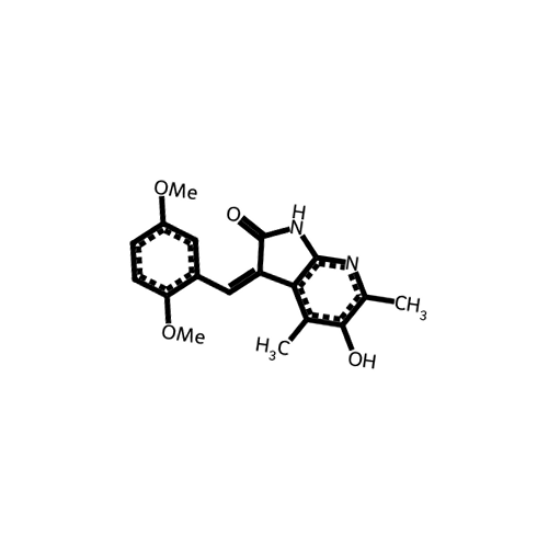 COc1ccc(OC)c(C=C2C(=O)Nc3nc(C)c(O)c(C)c32)c1